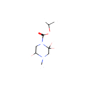 BC1CN(C(=O)OC(C(F)(F)F)C(F)(F)F)C(B)(B)CN1C(C)(C)C